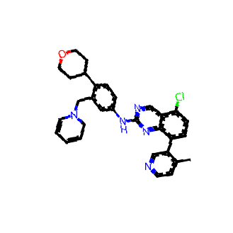 Cc1ccncc1-c1ccc(Cl)c2cnc(Nc3ccc(C4CCOCC4)c(CN4C=CC=CC4)c3)nc12